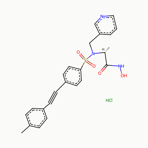 Cc1ccc(C#Cc2ccc(S(=O)(=O)N(Cc3cccnc3)[C@H](C)C(=O)NO)cc2)cc1.Cl